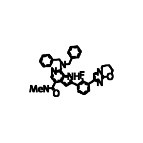 CNC(=O)c1cnc(N(Cc2ccccc2)Cc2ccccc2)c2[nH]c(-c3cccc(-c4cn5c(n4)OCCC5)c3F)cc12